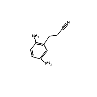 N#CCCc1cc(N)ccc1N